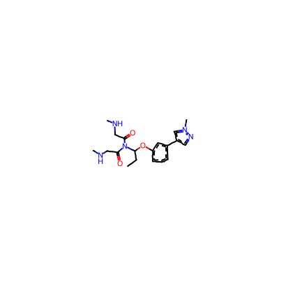 CCC(Oc1c[c]cc(-c2cnn(C)c2)c1)N(C(=O)CNC)C(=O)CNC